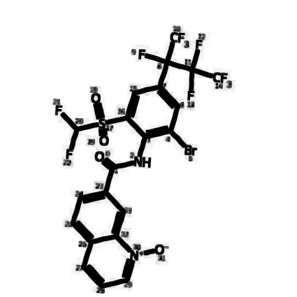 O=C(Nc1c(Br)cc(C(F)(C(F)(F)F)C(F)(F)C(F)(F)F)cc1S(=O)(=O)C(F)F)c1ccc2ccc[n+]([O-])c2c1